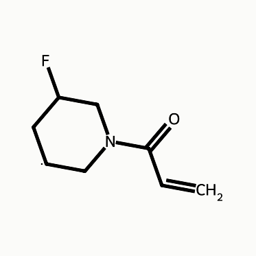 C=CC(=O)N1C[CH]CC(F)C1